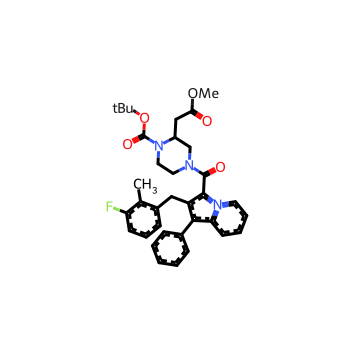 COC(=O)CC1CN(C(=O)c2c(Cc3cccc(F)c3C)c(-c3ccccc3)c3ccccn23)CCN1C(=O)OC(C)(C)C